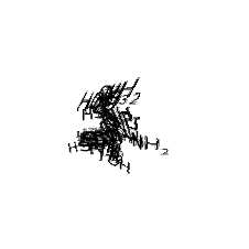 CC(C)[C@H](NC(=O)[C@H](CCCCN)NC(=O)[C@@H](Cc1ccccc1)NC(=O)[C@H](Cc1ccc(O)cc1)NC(=O)[C@@H](N)CS)C(=O)N[C@@H](CS)C(=O)N[C@H](C(N)=O)[C@@H](C)O